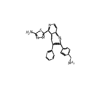 NCc1ccc(-c2nc3ccnc(-c4nnc(N)s4)c3cc2-c2ccccc2)cc1